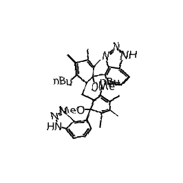 CCCCC1=C(C)C(C)=C(C)C(OC)(c2cccc3[nH]nnc23)C1CC1C(CCCC)=C(C)C(C)=C(C)C1(OC)c1cccc2[nH]nnc12